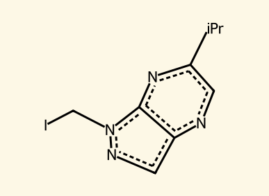 CC(C)c1cnc2cnn(CI)c2n1